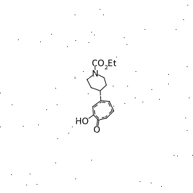 CCOC(=O)N1CCC(c2cccc(=O)c(O)c2)CC1